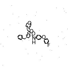 O=C(Nc1ccc(Oc2ccc(F)cc2)cc1)[C@@H]1C[C@@H](Cc2ccccc2)CN1C(=O)CN1CCOCC1